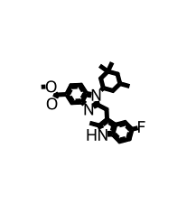 COC(=O)c1ccc2c(c1)nc(Cc1c(C)[nH]c3ccc(F)cc13)n2C1CC(C)CC(C)(C)C1